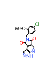 COc1cc(Cl)ccc1CN1C(=O)c2cnc3[nH]ncc3c2C1=O